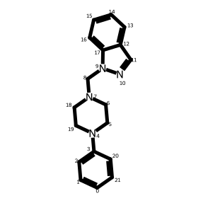 c1ccc(N2CCN(Cn3ncc4ccccc43)CC2)cc1